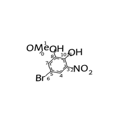 COC.O=[N+]([O-])c1cc(Br)cc(O)c1O